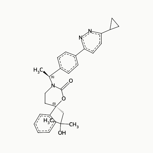 C[C@@H](c1ccc(-c2ccc(C3CC3)nn2)cc1)N1CC[C@](CC(C)(C)O)(c2ccccc2)OC1=O